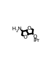 CC(C)OC1COC2C(N)COC12